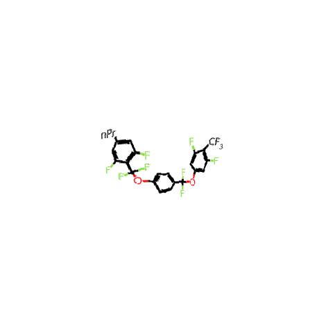 CCCc1cc(F)c(C(F)(F)Oc2ccc(C(F)(F)Oc3cc(F)c(C(F)(F)F)c(F)c3)cc2)c(F)c1